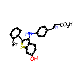 CC(C)c1ccccc1-c1sc2cc(O)ccc2c1Nc1ccc(/C=C/C(=O)O)cc1